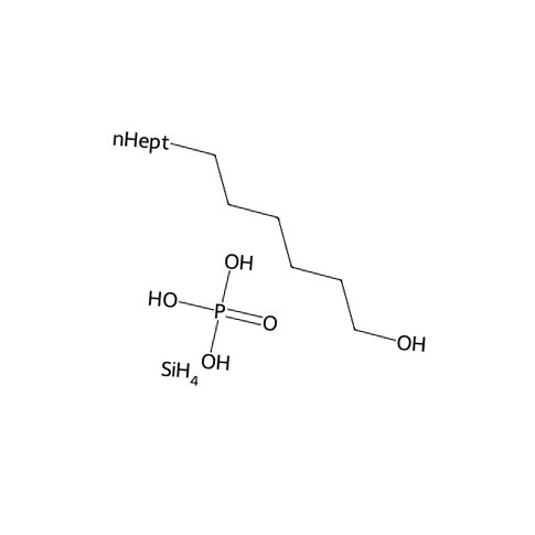 CCCCCCCCCCCCCO.O=P(O)(O)O.[SiH4]